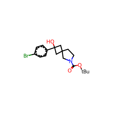 CC(C)(C)OC(=O)N1CCC2(C1)CC(O)(c1ccc(Br)cc1)C2